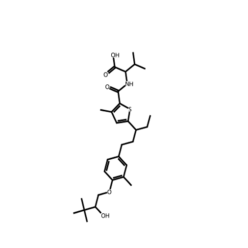 CCC(CCc1ccc(OCC(O)C(C)(C)C)c(C)c1)c1cc(C)c(C(=O)NC(C(=O)O)C(C)C)s1